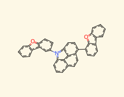 c1ccc2c(c1)oc1ccc(-n3c4cccc5ccc6c(-c7cccc8c7oc7ccccc78)ccc3c6c54)cc12